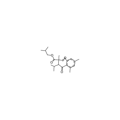 Cc1cc(C)c(C(=O)C(C(C)C)C(C)(P=O)C(=O)OCC(C)C)c(C)c1